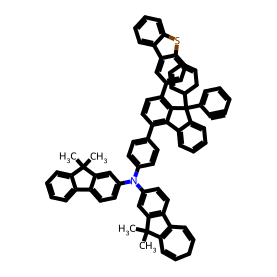 CC1(C)C2=C(C=CCC=C2)c2ccc(N(c3ccc(-c4ccc(-c5ccc6sc7ccccc7c6c5)c5c4-c4ccccc4C5(c4c#cccc4)C4C=CC=CC4)cc3)c3ccc4c(c3)C(C)(C)c3ccccc3-4)cc21